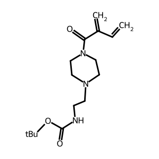 C=CC(=C)C(=O)N1CCN(CCNC(=O)OC(C)(C)C)CC1